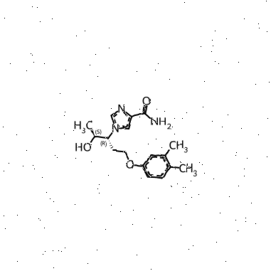 Cc1ccc(OCC[C@H]([C@H](C)O)n2cnc(C(N)=O)c2)cc1C